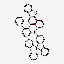 c1ccc(-c2cccc(N(c3ccccc3)c3ccc4c(c3)C3(c5ccccc5-c5ccccc53)c3ccccc3-4)c2-c2ccc3oc4ccccc4c3c2)cc1